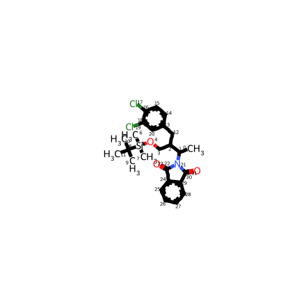 CC(C(CO[Si](C)(C)C(C)(C)C)Cc1ccc(Cl)c(Cl)c1)N1C(=O)c2ccccc2C1=O